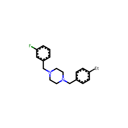 CCc1ccc(CN2CCN(Cc3cccc(F)c3)CC2)cc1